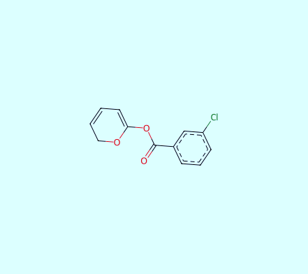 O=C(OC1=CC=CCO1)c1cccc(Cl)c1